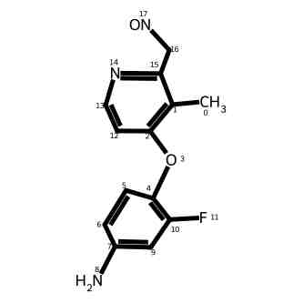 Cc1c(Oc2ccc(N)cc2F)ccnc1CN=O